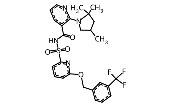 CC1CN(c2ncccc2C(=O)NS(=O)(=O)c2cccc(OCc3cccc(C(F)(F)F)c3)n2)C(C)(C)C1